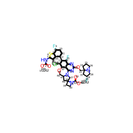 CC(C)(C)OC(=O)Nc1sc2c(F)ccc(-c3c(Cl)c4c5c(nc(OC[C@@]67CCCN6C[C@H](F)C7)nc5c3F)N3CC5(CCN5C(=O)OC(C)(C)C)CC3CO4)c2c1C#N